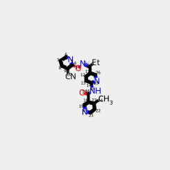 CC/C(=N/Oc1ncccc1C#N)c1ccc(NC(=O)c2cnccc2C)nc1